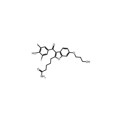 NC(=O)CCCCc1oc2cc(OCCCO)ccc2c1C(=O)c1cc(I)c(O)c(I)c1